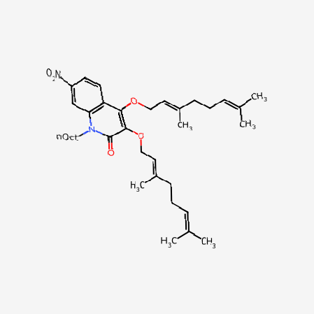 CCCCCCCCn1c(=O)c(OC/C=C(\C)CCC=C(C)C)c(OC/C=C(\C)CCC=C(C)C)c2ccc([N+](=O)[O-])cc21